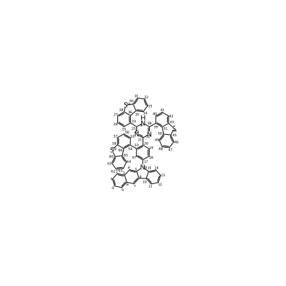 c1ccc2cc3c(cc2c1)c1ccccc1n3-c1ccc(C2=NC(c3cccc4sc5ccccc5c34)NC(c3cccc4sc5ccccc5c34)=N2)c(-c2cccc3sc4ccccc4c23)c1